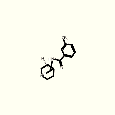 O=C(N[C@@H]1CN2CCC1CC2)c1cccc(C(F)(F)F)c1